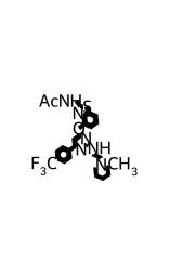 CC(=O)Nc1nc2c(Oc3cc(-c4ccc(C(F)(F)F)cc4)nc(NCCN4CCCC[C@@H]4C)n3)cccc2s1